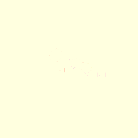 Cc1cc(C)c(-n2cc3sc(NC4CCCC4O)nc3n2)c(O)c1